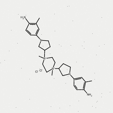 Cc1cc(N2CCC([N+]3(C)CC[N+](C)(C4CCN(c5ccc(N)c(C)c5)C4)CC3)C2)ccc1N.[Cl-].[Cl-]